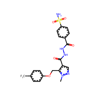 Cn1ncc(C(=O)NNC(=O)c2ccc(S(N)(=O)=O)cc2)c1COc1ccc(C(F)(F)F)cc1